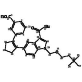 CCOC(=O)c1cccc(C2=C(c3cnc4c(n3)c(C(=O)C(C)(C)C)cn4COCC[Si](C)(C)C)CCC2)n1